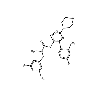 Cc1cc(F)ccc1-c1nc(N2CCNCC2)ncc1OC(=O)N(C)Cc1cc(C(F)(F)F)cc(C(F)(F)F)c1